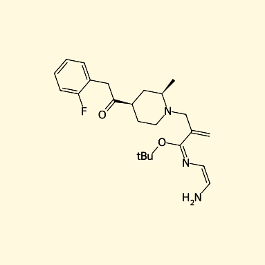 C=C(CN1CC[C@@H](C(=O)Cc2ccccc2F)C[C@H]1C)/C(=N\C=C/N)OC(C)(C)C